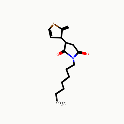 C=C1SC=CC1C1CC(=O)N(CCCCCCC(=O)OCC)C1=O